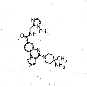 Cn1ccnc1CNC(=O)c1ccc2c(c1)nc(N1CCC(C)(N)CC1)c1ccsc12